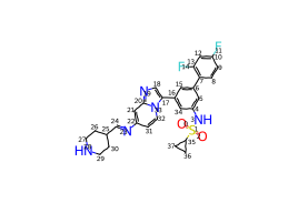 O=S(=O)(Nc1cc(-c2ccc(F)cc2F)cc(-c2cnc3cc(N=CC4CCNCC4)ccn23)c1)C1CC1